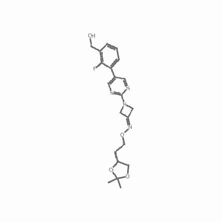 CC1(C)OCC(CCON=C2CN(c3ncc(-c4cccc(CO)c4F)cn3)C2)O1